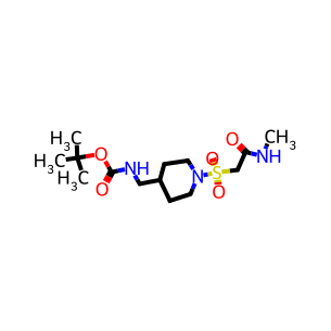 CNC(=O)CS(=O)(=O)N1CCC(CNC(=O)OC(C)(C)C)CC1